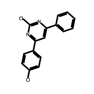 Clc1ccc(-c2cc(-c3ccccc3)nc(Cl)n2)cc1